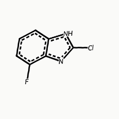 Fc1cccc2[nH]c(Cl)nc12